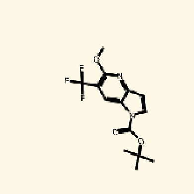 COc1nc2ccn(C(=O)OC(C)(C)C)c2cc1C(F)(F)F